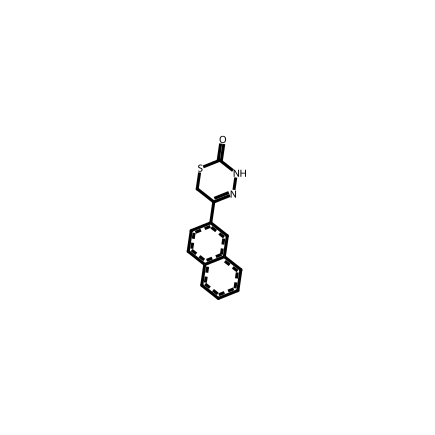 O=C1NN=C(c2ccc3ccccc3c2)CS1